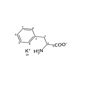 NC(Cc1ccccc1)C(=O)[O-].[K+]